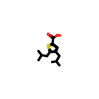 CC(C)Cc1cc(C(=O)O)sc1CC(C)C